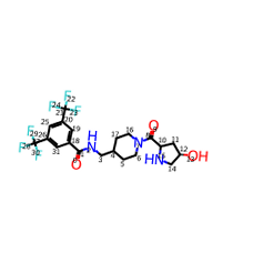 O=C(NCC1CCN(C(=O)C2C[C@@H](O)CN2)CC1)c1cc(C(F)(F)F)cc(C(F)(F)F)c1